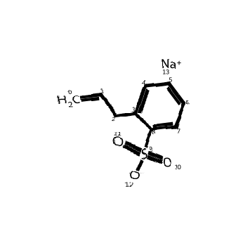 C=CCc1ccccc1S(=O)(=O)[O-].[Na+]